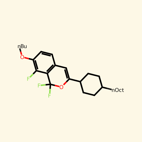 CCCCCCCCC1CCC(C2=Cc3ccc(OCCCC)c(F)c3C(F)(F)O2)CC1